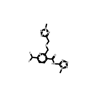 Cn1nnc(CSCc2nc(C(F)F)ccc2C(=O)Nc2nnnn2C)n1